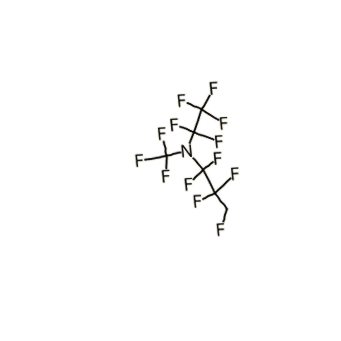 FCC(F)(F)C(F)(F)N(C(F)(F)F)C(F)(F)C(F)(F)F